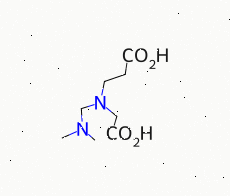 CN(C)CN(CCC(=O)O)CC(=O)O